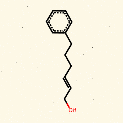 OCC=CCCCc1ccccc1